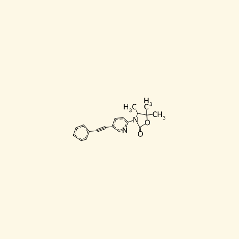 CC1N(c2ccc(C#Cc3ccccc3)cn2)C(=O)OC1(C)C